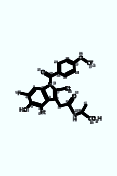 CCc1c(O)c(F)cc2c1c(CC(=O)NC(C)C(=O)O)c(CC)n2C(=O)c1ccc(OC(F)(F)F)cc1